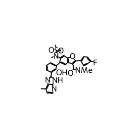 CNC(=O)c1c(-c2ccc(F)cc2)oc2cc(N(C)S(C)(=O)=O)c(-c3cccc(-c4nc5c(C)ccnc5[nH]4)c3O)cc12